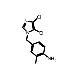 Cc1cc(Cn2cnc(Cl)c2Cl)ccc1N